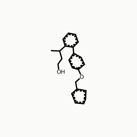 CC(CCO)c1ccccc1-c1ccc(OCc2ccccc2)cc1